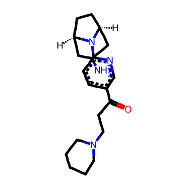 N[C@H]1C[C@H]2CC[C@@H](C1)N2c1ccc(C(=O)CCN2CCCCC2)cn1